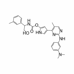 Cc1cccc(C(CO)NC(=O)Oc2cc(-c3nc(Nc4cccc(N(C)C)c4)ncc3C)c[nH]2)c1